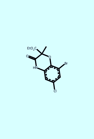 CCOC(=O)C1(C)Oc2c(Br)cc(Cl)cc2NC1=O